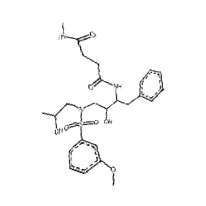 CNC(=O)CCC(=O)NC(Cc1ccccc1)C(O)CN(CC(C)O)S(=O)(=O)c1cccc(OC)c1